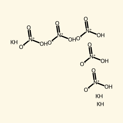 O=[N+]([O-])O.O=[N+]([O-])O.O=[N+]([O-])O.O=[N+]([O-])O.O=[N+]([O-])O.[KH].[KH].[KH]